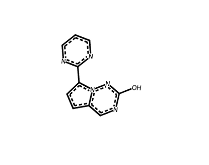 Oc1ncc2ccc(-c3ncccn3)n2n1